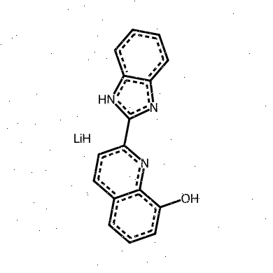 Oc1cccc2ccc(-c3nc4ccccc4[nH]3)nc12.[LiH]